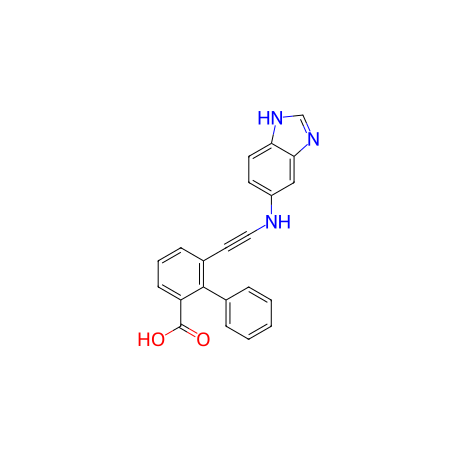 O=C(O)c1cccc(C#CNc2ccc3[nH]cnc3c2)c1-c1ccccc1